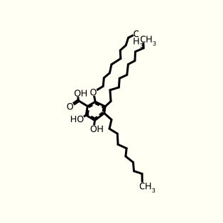 CCCCCCCCCCc1c(O)c(O)c(C(=O)O)c(OCCCCCCCCC)c1CCCCCCCCCC